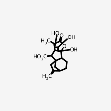 C=C1CC23CC1CCC2C12OC(=O)C(C)(C(O)C(O)C1O)C2C3C(=O)O